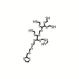 CCCC.SCSC(SCS)C(SCS)SCSC(SCS)C(SCS)SCSSCSCC1SCCS1